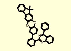 CC1(C)c2ccccc2-c2cc3c(cc21)Oc1ccc(-c2ccccc2-c2nc(-c4ccccc4)c4ccccc4n2)cc1O3